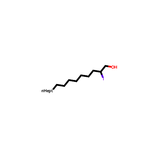 CCCCCCCCCCCCCCC(I)CO